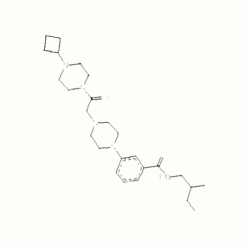 CCC(C)CNC(=O)c1cccc(N2CCN(CC(=O)N3CCN(C4CCC4)CC3)CC2)c1